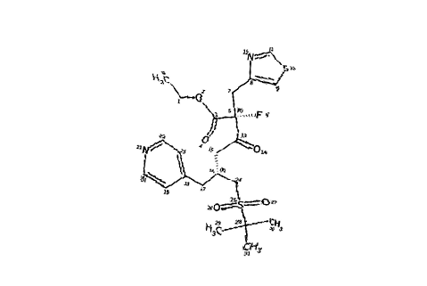 CCOC(=O)[C@@](F)(Cc1cscn1)C(=O)C[C@@H](Cc1ccncc1)CS(=O)(=O)C(C)(C)C